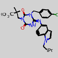 CC(C)Cn1ccc2cc(/N=c3\[nH]c(=O)n(CC(C)(C)C(=O)O)c(=O)n3Cc3ccc(Cl)cc3)ccc21